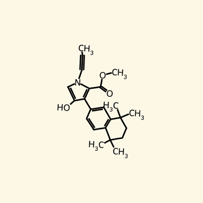 CC#Cn1cc(O)c(-c2ccc3c(c2)C(C)(C)CCC3(C)C)c1C(=O)OC